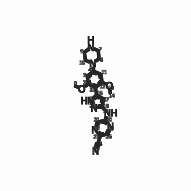 COc1cc(N2CCNCC2)cc(OC)c1-c1cc(Nc2cnc(C#N)cn2)n[nH]1